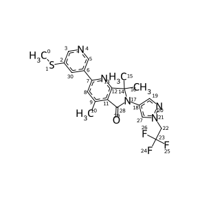 CSc1cncc(-c2cc(C)c3c(n2)C(C)(C)N(c2cnn(CC(F)(F)F)c2)C3=O)c1